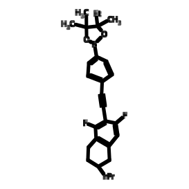 CCCC1CCc2c(cc(F)c(C#Cc3ccc(B4OC(C)(C)C(C)(CC)O4)cc3)c2F)C1